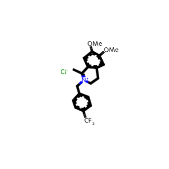 COc1cc2c(cc1OC)C(C)=[N+](Cc1ccc(C(F)(F)F)cc1)CC2.[Cl-]